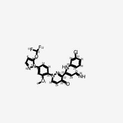 COc1cc(-n2nccc2OC(F)F)ccc1-n1ccc(=O)c(/C(=C/C=N)Nc2cccc(Cl)c2)n1